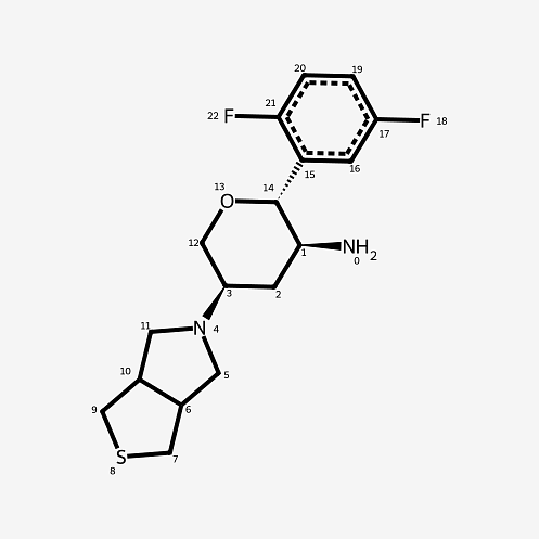 N[C@H]1C[C@@H](N2CC3CSCC3C2)CO[C@@H]1c1cc(F)ccc1F